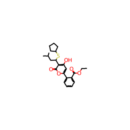 CCOC(=O)c1ccccc1-c1cc(O)c(C(CC(C)C)SC2CCCC2)c(=O)o1